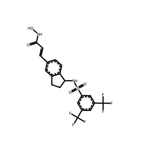 O=C(/C=C/c1ccc2c(c1)CCC2NS(=O)(=O)c1cc(C(F)(F)F)cc(C(F)(F)F)c1)NO